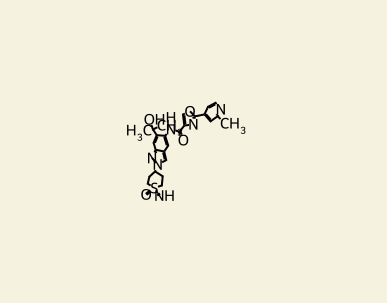 Cc1cc(-c2nc(C(=O)Nc3cc4cn(C5CCS(=N)(=O)CC5)nc4cc3C(C)(C)O)co2)ccn1